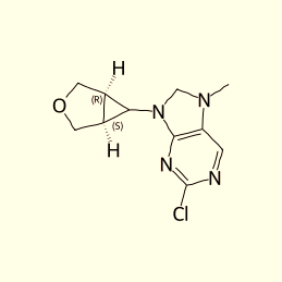 CN1CN(C2[C@H]3COC[C@@H]23)c2nc(Cl)ncc21